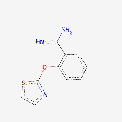 N=C(N)c1ccccc1Oc1nccs1